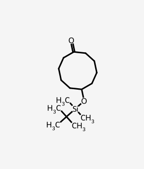 CC(C)(C)[Si](C)(C)OC1CCCCC(=O)CCCC1